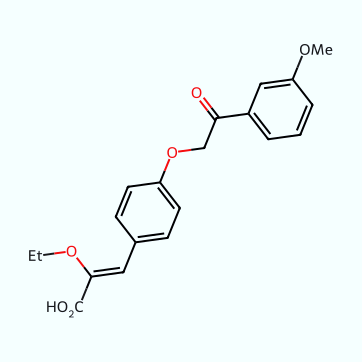 CCOC(=Cc1ccc(OCC(=O)c2cccc(OC)c2)cc1)C(=O)O